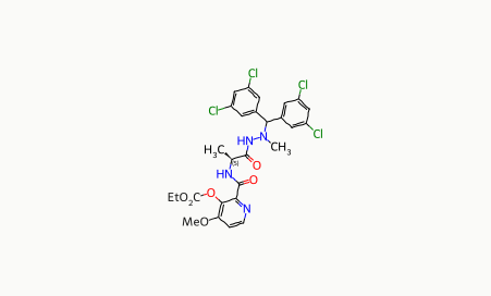 CCOC(=O)Oc1c(OC)ccnc1C(=O)N[C@@H](C)C(=O)NN(C)C(c1cc(Cl)cc(Cl)c1)c1cc(Cl)cc(Cl)c1